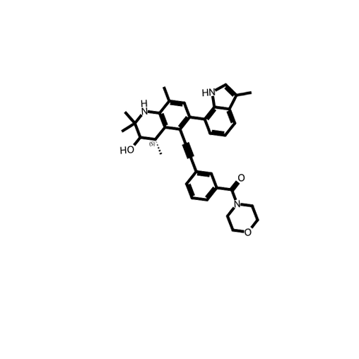 Cc1cc(-c2cccc3c(C)c[nH]c23)c(C#Cc2cccc(C(=O)N3CCOCC3)c2)c2c1NC(C)(C)C(O)[C@H]2C